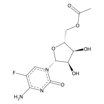 CC(=O)OC[C@H]1O[C@@H](n2cc(F)c(N)nc2=O)[C@H](O)[C@@H]1O